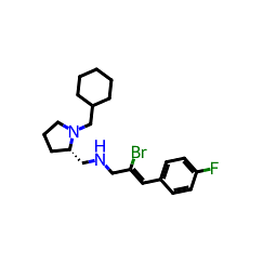 Fc1ccc(/C=C(\Br)CNC[C@@H]2CCCN2CC2CCCCC2)cc1